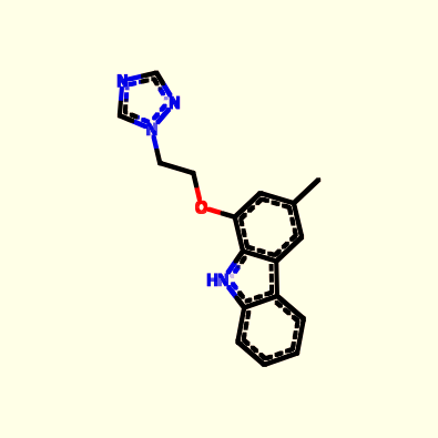 Cc1cc(OCCn2cncn2)c2[nH]c3ccccc3c2c1